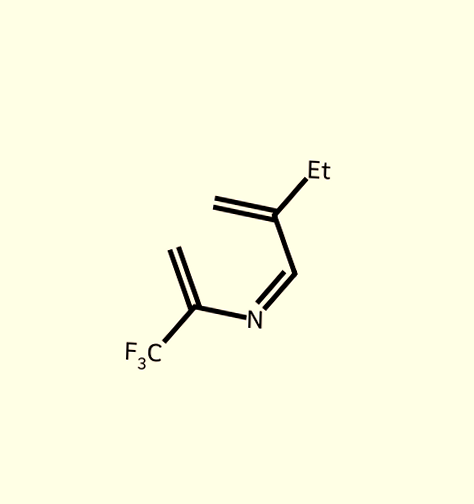 C=C(/C=N\C(=C)C(F)(F)F)CC